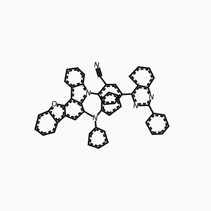 N#Cc1cc(-c2nc(-c3ccccc3)nc3ccccc23)ccc1-n1c2ccccc2c2c3oc4ccccc4c3cc(N(c3ccccc3)c3ccccc3)c21